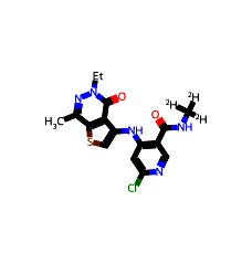 [2H]C([2H])([2H])NC(=O)c1cnc(Cl)cc1Nc1csc2c(C)nn(CC)c(=O)c12